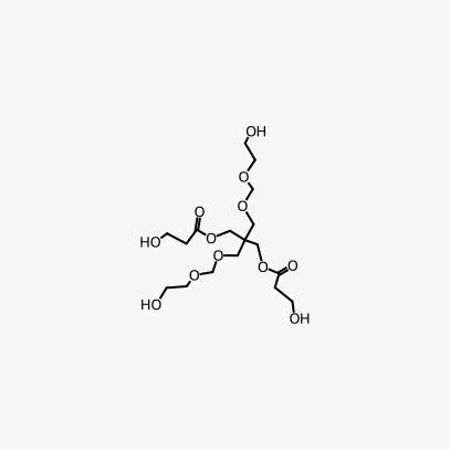 O=C(CCO)OCC(COCOCCO)(COCOCCO)COC(=O)CCO